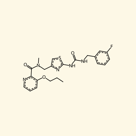 CCCOc1cccnc1C(=O)N(C)Cc1csc(NC(=O)NCc2cccc(F)c2)n1